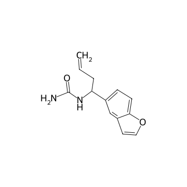 C=CCC(NC(N)=O)c1ccc2occc2c1